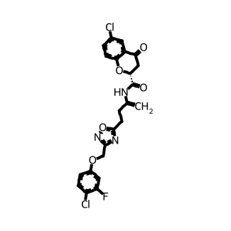 C=C(CCc1nc(COc2ccc(Cl)c(F)c2)no1)NC(=O)[C@H]1CC(=O)c2cc(Cl)ccc2O1